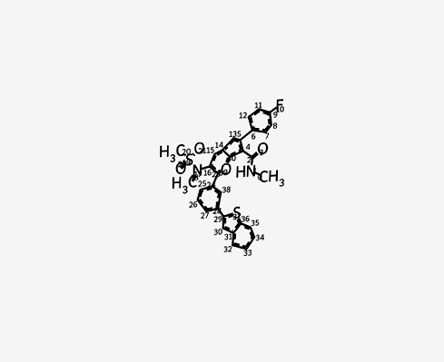 CNC(=O)c1c(-c2ccc(F)cc2)cc2cc(N(C)S(C)(=O)=O)c(-c3cccc(-c4cc5ccccc5s4)c3)oc1-2